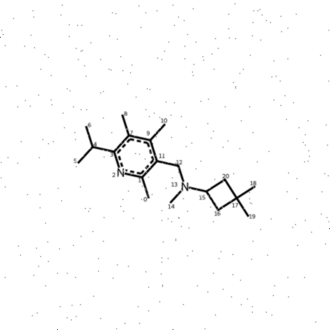 Cc1nc(C(C)C)c(C)c(C)c1CN(C)C1CC(C)(C)C1